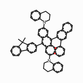 CC1(C)c2ccccc2-c2ccc(-c3c4cc(N5CCCc6ccccc65)ccc4c(-c4cc5ccccc5cc4-c4ccccc4)c4cc(N5CCCc6ccccc65)ccc34)cc21